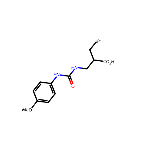 COc1ccc(NC(=O)NCC(CC(C)C)C(=O)O)cc1